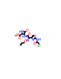 C=CCON=C(C(=O)NC1C(=O)NC1C(=O)OC)c1csc(NC(=O)CCl)n1